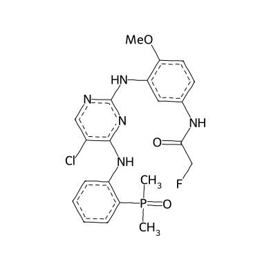 COc1ccc(NC(=O)CF)cc1Nc1ncc(Cl)c(Nc2ccccc2P(C)(C)=O)n1